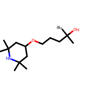 CCC(C)C(C)(O)CCCOC1CC(C)(C)NC(C)(C)C1